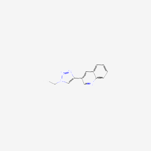 CC(C)Cn1cc(-c2cnc3ccccc3c2)nn1